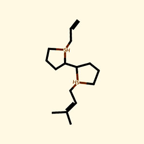 C=CC[SH]1CCCC1C1CCC[SH]1CC=C(C)C